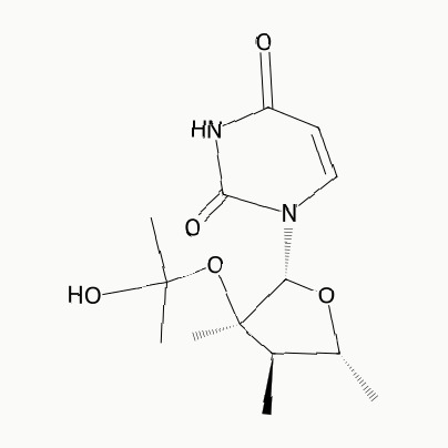 C[C@@H]1[C@@H](C)O[C@@H](n2ccc(=O)[nH]c2=O)[C@]1(C)OC(C)(C)O